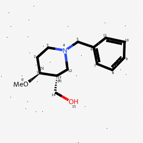 CO[C@H]1CCN(Cc2ccccc2)C[C@@H]1CO